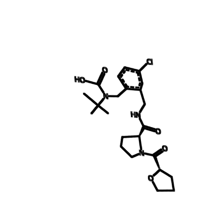 CC(C)(C)N(Cc1ccc(Cl)cc1CNC(=O)[C@@H]1CCCN1C(=O)[C@H]1CCCO1)C(=O)O